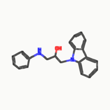 OC(CNc1ccccc1)Cn1c2ccccc2c2ccccc21